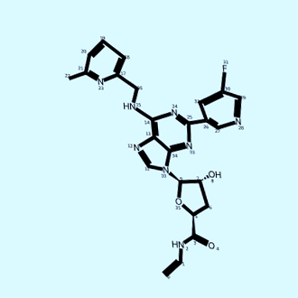 C=CNC(=O)[C@@H]1C[C@@H](O)[C@H](n2cnc3c(NCc4cccc(C)n4)nc(-c4cncc(F)c4)nc32)O1